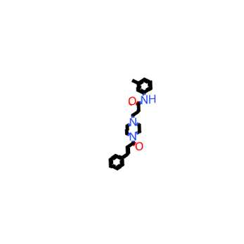 Cc1cccc(NC(=O)CCN2CCN(C(=O)C=Cc3ccccc3)CC2)c1